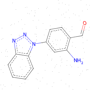 Nc1cc(-n2nnc3ccccc32)ccc1C=O